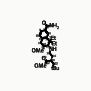 CCC1(CC)c2cc(C(N)=O)ccc2C[C@@H](OC)[C@H]1NCC[C@@H](CC(C)(C)C)C(=O)OC